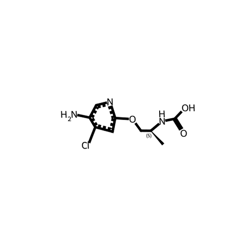 C[C@@H](COc1cc(Cl)c(N)cn1)NC(=O)O